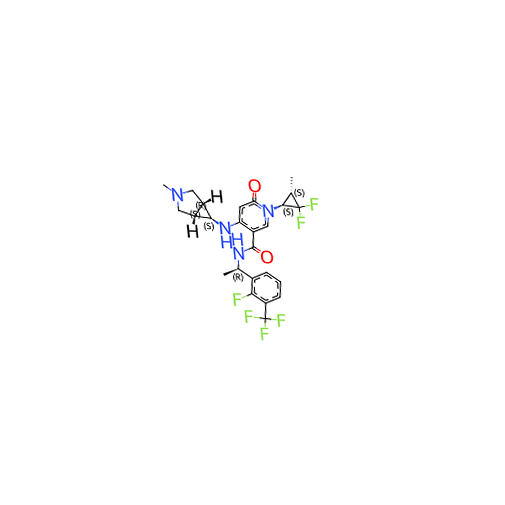 C[C@@H](NC(=O)c1cn([C@H]2[C@H](C)C2(F)F)c(=O)cc1N[C@H]1[C@@H]2CN(C)C[C@@H]21)c1cccc(C(F)(F)F)c1F